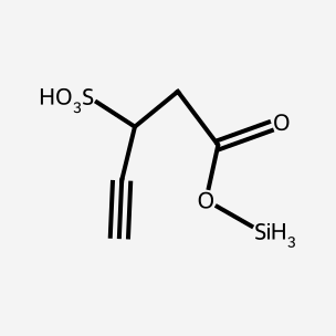 C#CC(CC(=O)O[SiH3])S(=O)(=O)O